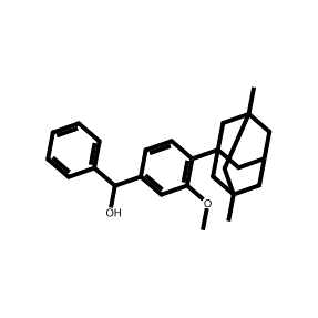 COc1cc(C(O)c2ccccc2)ccc1C12CC3CC(C)(CC(C)(C3)C1)C2